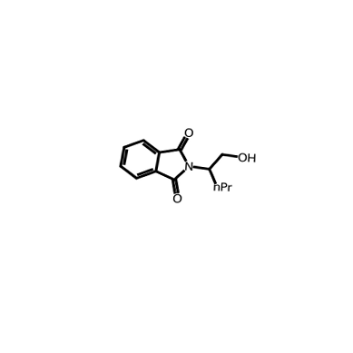 CCCC(CO)N1C(=O)c2ccccc2C1=O